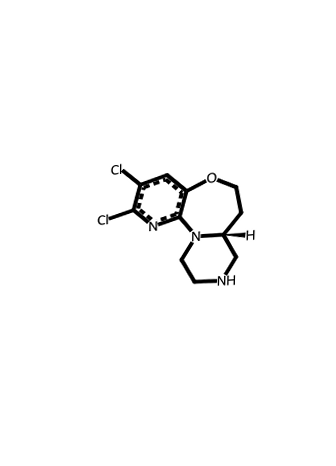 Clc1cc2c(nc1Cl)N1CCNC[C@H]1CCO2